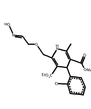 CCOC(=O)C1=C(COCC=NO)NC(C)=C(C(=O)OC)C1c1ccccc1Cl